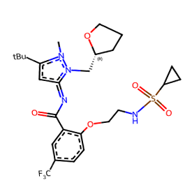 Cn1c(C(C)(C)C)cc(=NC(=O)c2cc(C(F)(F)F)ccc2OCCNS(=O)(=O)C2CC2)n1C[C@H]1CCCO1